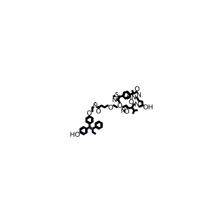 CC/C(=C(\c1ccc(O)cc1)c1ccc(OCCN(C)C(=O)CCCOCCOc2cc(C(C(=O)N3C[C@H](O)CC3C3=NC(=O)C(C)(c4ccc(-c5scnc5C)cc4)N3)C(C)C)on2)cc1)c1ccccc1